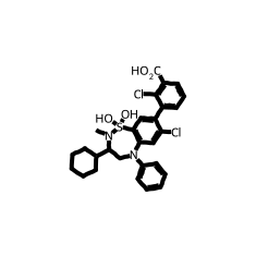 CN1C(C2CCCCC2)CN(c2ccccc2)c2cc(Cl)c(-c3cccc(C(=O)O)c3Cl)cc2S1(O)O